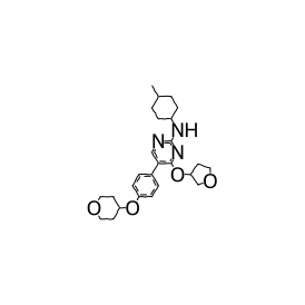 CC1CCC(Nc2ncc(-c3ccc(OC4CCOCC4)cc3)c(OC3CCOC3)n2)CC1